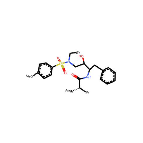 COc1ccc(S(=O)(=O)N(CC(C)C)CC(O)C(Cc2ccccc2)NC(=O)[C@@H](NC(C)=O)C(C)C)cc1